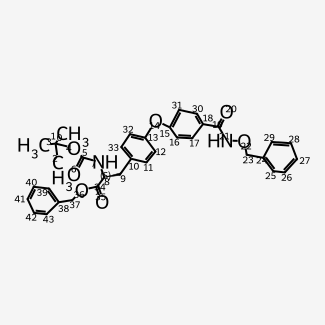 CC(C)(C)OC(=O)N[C@@H](Cc1ccc(Oc2ccc(C(=O)NOCc3ccccc3)cc2)cc1)C(=O)OCc1ccccc1